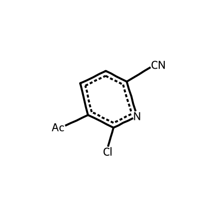 CC(=O)c1ccc(C#N)nc1Cl